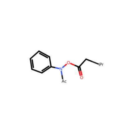 CC(=O)N(OC(=O)CC(C)C)c1ccccc1